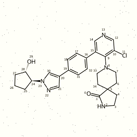 O=C1NCCC12CCN(c1c(Cl)cncc1-c1ccc(-c3cnn([C@H]4CCC[C@@H]4O)c3)cc1)CC2